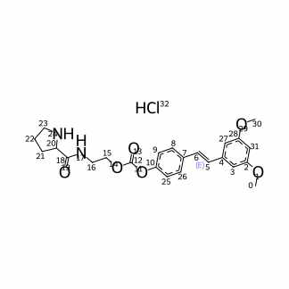 COc1cc(/C=C/c2ccc(OC(=O)OCCNC(=O)C3CCCN3)cc2)cc(OC)c1.Cl